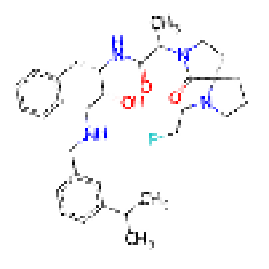 CC(C)c1cccc(CNC[C@@H](O)[C@H](Cc2ccccc2)NC(=O)[C@H](C)N2CC[C@@]3(CCCN3CCF)C2=O)c1